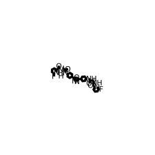 C[C@H](NC(=O)c1cccc(F)n1)C(=O)Nc1ccc(-c2nnc(-c3ccc(NC(=O)[C@H](C)NC(=O)c4cccc(F)n4)cc3)o2)cc1